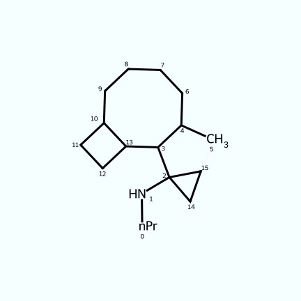 CCCNC1(C2C(C)CCCCC3CCC32)CC1